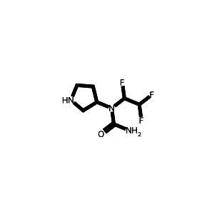 NC(=O)N(C1CCNC1)C(F)C(F)F